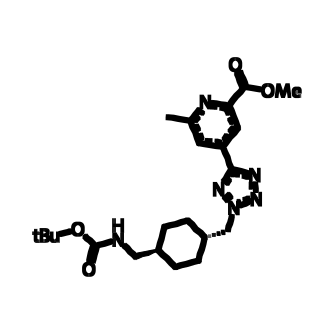 COC(=O)c1cc(-c2nnn(C[C@H]3CC[C@H](CNC(=O)OC(C)(C)C)CC3)n2)cc(C)n1